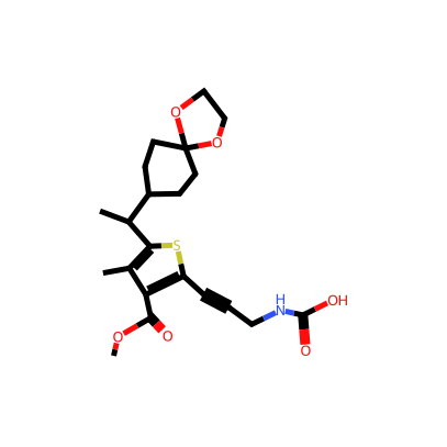 COC(=O)c1c(C#CCNC(=O)O)sc(C(C)C2CCC3(CC2)OCCO3)c1C